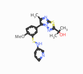 COc1ccc(-c2c(C)nc3sc(C(C)(C)O)nn23)cc1SNc1cccnc1